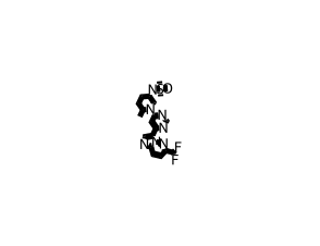 CC1CCC(N=S(C)(C)=O)CN1c1cc(-c2cnc3ccc(C(F)F)nn23)ncn1